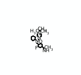 CC(=N)C1CCC(CN(C(=O)N2CCN(C(C)(C)C)CC2)C2CCCCC2)C(F)C1